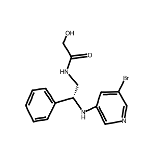 O=C(CO)NC[C@H](Nc1cncc(Br)c1)c1ccccc1